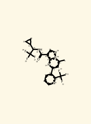 Cc1cc(-c2cccnc2C(F)(F)F)nc2c(C(=O)NC(C3CC3)C(F)(F)F)cnn12